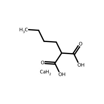 CCCCC(C(=O)O)C(=O)O.[CaH2]